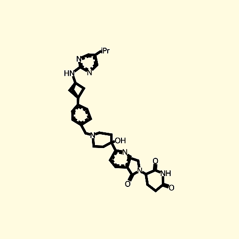 CC(C)c1cnc(NC23CC(c4ccc(CN5CCC(O)(c6ccc7c(n6)CN(C6CCC(=O)NC6=O)C7=O)CC5)cc4)(C2)C3)nc1